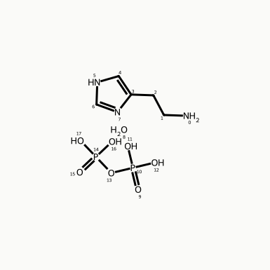 NCCc1c[nH]cn1.O.O=P(O)(O)OP(=O)(O)O